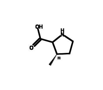 C[C@H]1CCNC1C(=O)O